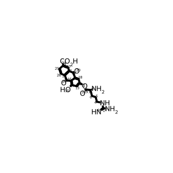 N=C(N)NCCC[C@H](N)C(=O)Oc1cc(O)c2c(c1)C(=O)c1cc(C(=O)O)ccc1C2=O